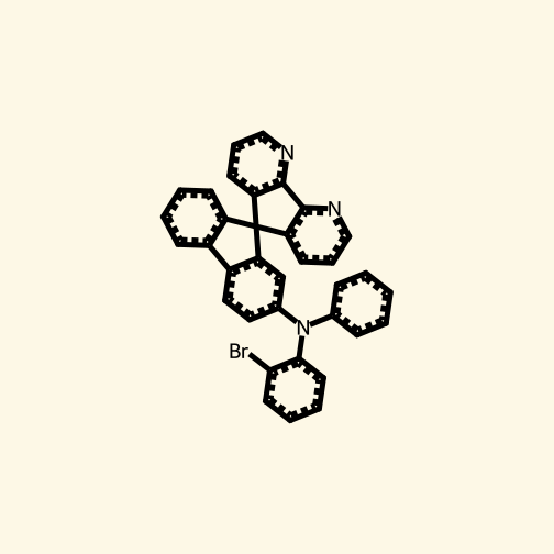 Brc1ccccc1N(c1ccccc1)c1ccc2c(c1)C1(c3ccccc3-2)c2cccnc2-c2ncccc21